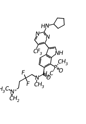 C=[N+](C)CCC(F)(F)CN(C)C(=O)c1ccc2c(-c3nc(NC4CCCC4)ncc3C(F)(F)F)c[nH]c2c1P(C)(C)=O